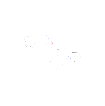 O=C(c1cc(-c2ccccc2)no1)C1CCCCC1N1CCCC1